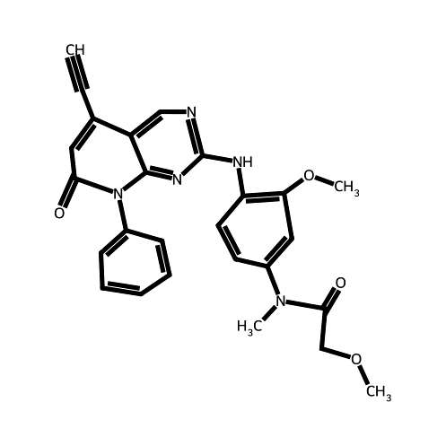 C#Cc1cc(=O)n(-c2ccccc2)c2nc(Nc3ccc(N(C)C(=O)COC)cc3OC)ncc12